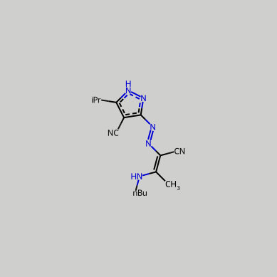 CCCCN/C(C)=C(C#N)\N=N\c1n[nH]c(C(C)C)c1C#N